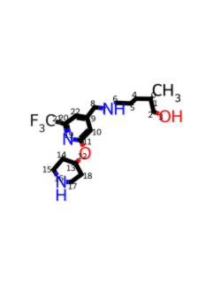 C[C@H](CO)CCCNCc1cc(OC2CCNCC2)nc(C(F)(F)F)c1